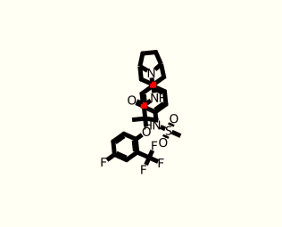 CC(C)(Oc1ccc(F)cc1C(F)(F)F)C(=O)NC1CC2CCC(C1)N2c1ccc(NS(C)(=O)=O)cc1